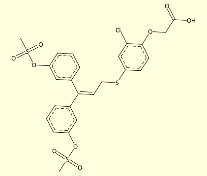 CS(=O)(=O)Oc1cccc(C(=CCSc2ccc(OCC(=O)O)c(Cl)c2)c2cccc(OS(C)(=O)=O)c2)c1